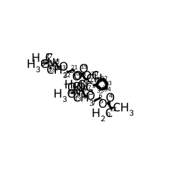 C=C(C)C(=O)OCCOCC[N+](C)(C)C.C=C(C)C(=O)OCCOCC[N+](C)(C)C.O=C([O-])c1ccccc1C(=O)[O-]